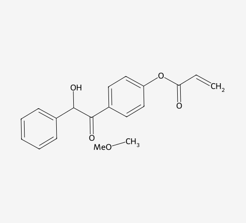 C=CC(=O)Oc1ccc(C(=O)C(O)c2ccccc2)cc1.COC